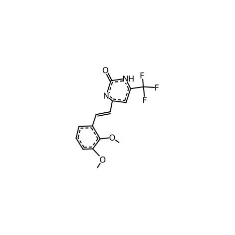 COc1cccc(C=Cc2cc(C(F)(F)F)[nH]c(=O)n2)c1OC